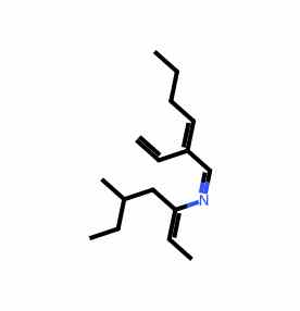 C=CC(/C=N\C(=C/C)CC(C)CC)=C\CCC